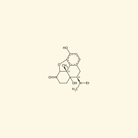 CCN(C)[C@@H]1Cc2ccc(O)c3c2[C@@]2(C)C(O3)C(=O)CCC12O